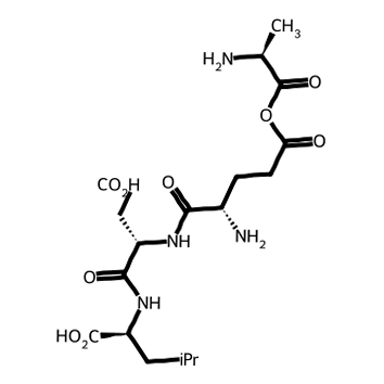 CC(C)C[C@H](NC(=O)[C@H](CC(=O)O)NC(=O)[C@@H](N)CCC(=O)OC(=O)[C@H](C)N)C(=O)O